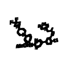 COc1cc(N2CCC(N3CC(F)(F)C3)CC2)ccc1Nc1ncc(-c2ccc(Cl)c(OC(C)Cn3cnnn3)c2)cn1